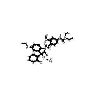 CCOc1ccc2c(c1)C(N)(c1ccccc1Cl)C(=O)N2S(=O)(=O)c1ccc(NC(=O)N(CC)CC)cc1OC.O